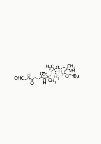 CCC(C)C(=O)NC(C)(C)CCOC(C)(C)CCC(C)(CC)NC(=O)CCC(=O)NCC=O